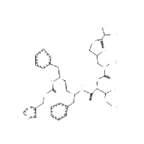 COC(C)[C@H](NC(=O)N(C)CC1CSC(C(C)C)=N1)C(=O)N[C@H](CC[C@H](Cc1ccccc1)NC(=O)OCc1cncs1)Cc1ccccc1